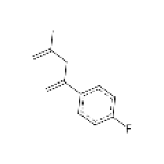 C=C(C)CC(=C)c1ccc(F)cc1